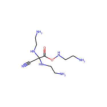 N#CC(NCCN)(NCCN)C(=O)ONCCN